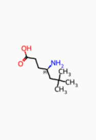 CC(C)(C)C[C@H](N)CCC(=O)O